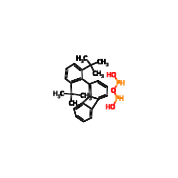 CC(C)(C)c1cccc(C(C)(C)C)c1-c1cccc2c1-c1ccccc1-2.OPOPO